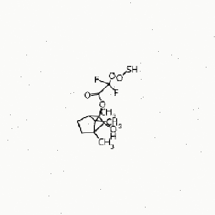 CC1(C)C2CCC1(C)C(O)C2OC(=O)C(F)(F)OOS